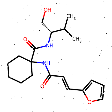 CC(C)[C@@H](CO)NC(=O)C1(NC(=O)C=Cc2ccco2)CCCCC1